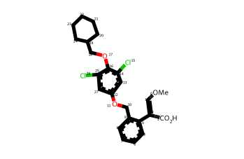 COC=C(C(=O)O)c1ccccc1COc1cc(Cl)c(OCC2CCCCC2)c(Cl)c1